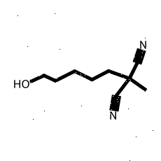 CC(C#N)(C#N)CCCCCO